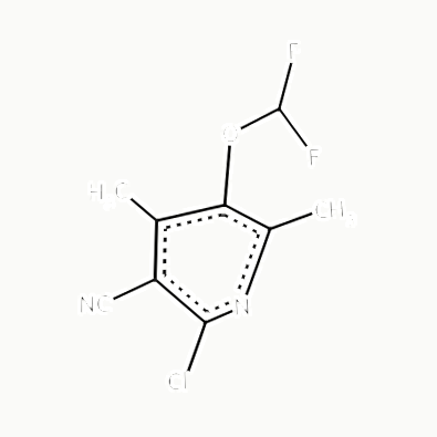 Cc1nc(Cl)c(C#N)c(C)c1OC(F)F